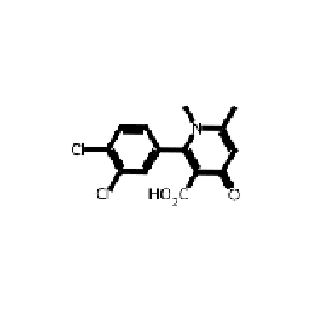 Cc1cc(=O)c(C(=O)O)c(-c2ccc(Cl)c(Cl)c2)n1C